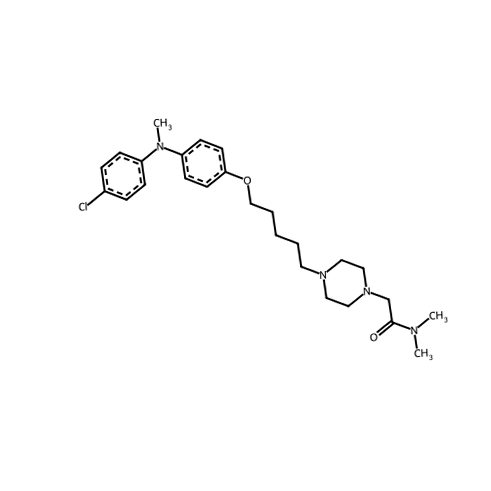 CN(C)C(=O)CN1CCN(CCCCCOc2ccc(N(C)c3ccc(Cl)cc3)cc2)CC1